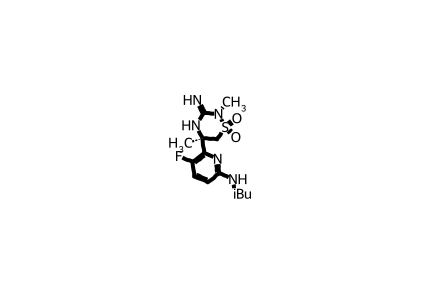 CCC(C)Nc1ccc(F)c([C@]2(C)CS(=O)(=O)N(C)C(=N)N2)n1